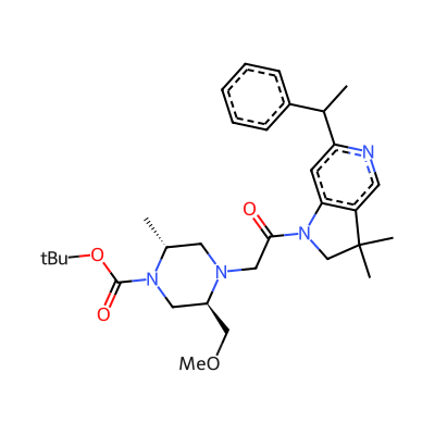 COC[C@H]1CN(C(=O)OC(C)(C)C)[C@H](C)CN1CC(=O)N1CC(C)(C)c2cnc(C(C)c3ccccc3)cc21